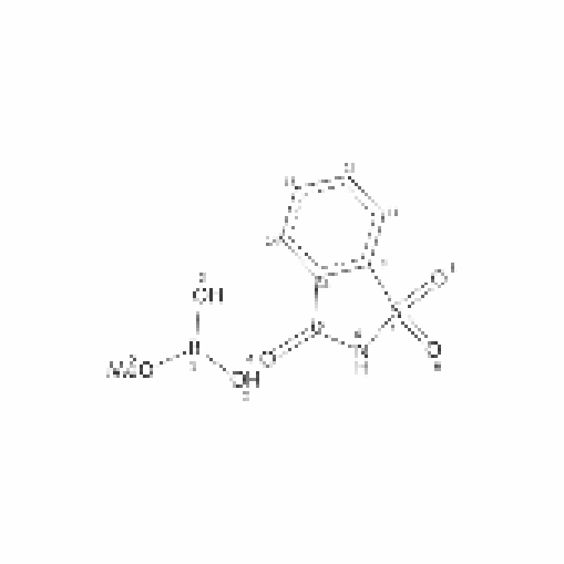 COB(O)O.O=C1NS(=O)(=O)c2ccccc21